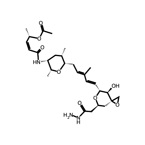 CC(=O)O[C@@H](C)/C=C\C(=O)N[C@@H]1C[C@H](C)[C@H](C/C=C(C)/C=C/[C@H]2O[C@H](CC(=O)NN)C[C@@]3(CO3)[C@@H]2O)O[C@@H]1C